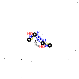 Cc1nc(Nc2ccc(O)c(-c3nc4ccccc4s3)c2)nc(Nc2ccc(O)c(-c3nc4ccccc4s3)c2)n1